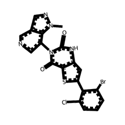 Cn1ncc2cncc(-n3c(=O)[nH]c4cc(-c5c(Cl)cccc5Br)sc4c3=O)c21